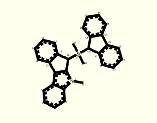 Cn1c2c(c3ccccc31)-c1ccccc1C2[Si](C)(C)C1c2ccccc2-c2ccccc21